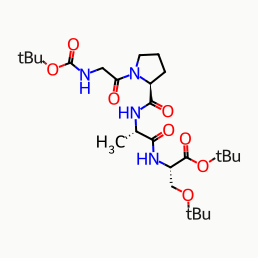 C[C@H](NC(=O)[C@@H]1CCCN1C(=O)CNC(=O)OC(C)(C)C)C(=O)N[C@@H](COC(C)(C)C)C(=O)OC(C)(C)C